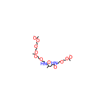 COC(C)OCCOCCNC(=O)CCC(C)C(=O)NCCOCCOC(C)OCCOCCOC(C)OC